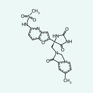 Cc1ccc2c(c1)C(=O)N(C[C@@]1(c3cc4nc(NS(C)(=O)=O)ccc4o3)NC(=O)NC1=O)C2